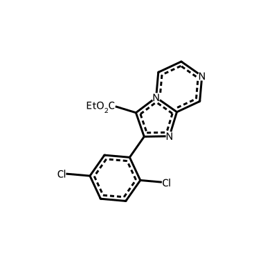 CCOC(=O)c1c(-c2cc(Cl)ccc2Cl)nc2cnccn12